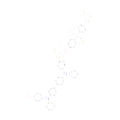 COc1ccc(N(c2ccccc2)c2ccc(-c3ccc(N(c4ccccc4)c4ccc(OC(F)(F)C(F)Oc5ccc(C(c6ccc(OC(F)C(C)(F)F)cc6)(C(F)(F)F)C(F)(F)F)cc5)cc4)cc3)cc2)cc1